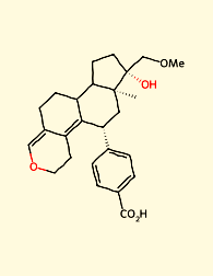 COC[C@]1(O)CCC2C3CCC4=COCCC4=C3[C@@H](c3ccc(C(=O)O)cc3)C[C@@]21C